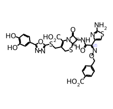 Nc1nc(/C(=N/OCc2ccc(C(=O)O)cc2)C(=O)N[C@@H]2C(=O)N3C(C(=O)O)=C(CSc4nnc(-c5ccc(O)c(O)c5)o4)CS[C@H]23)cs1